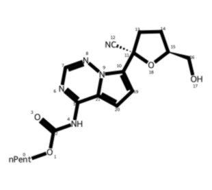 CCCCCOC(=O)Nc1ncnn2c([C@@]3(C#N)CC[C@@H](CO)O3)ccc12